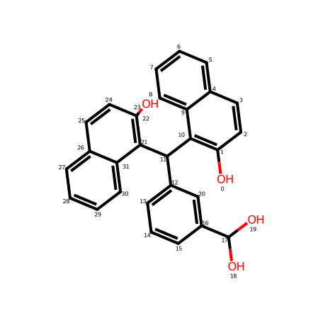 Oc1ccc2ccccc2c1C(c1cccc(C(O)O)c1)c1c(O)ccc2ccccc12